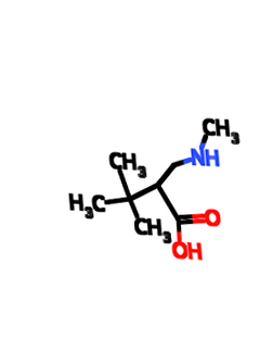 CNCC(C(=O)O)C(C)(C)C